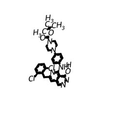 CC(C)(C)OC(=O)N1CCN(c2ccc(Nc3nc(Cc4c(Cl)cccc4Cl)cc4cnnc(O)c34)cc2)CC1